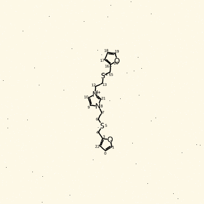 c1coc(CSCCn2cc[n+](CCSCc3ccco3)c2)c1